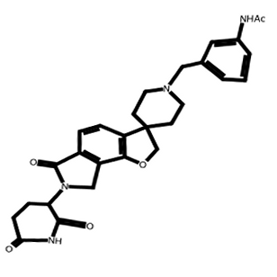 CC(=O)Nc1cccc(CN2CCC3(CC2)COc2c3ccc3c2CN(C2CCC(=O)NC2=O)C3=O)c1